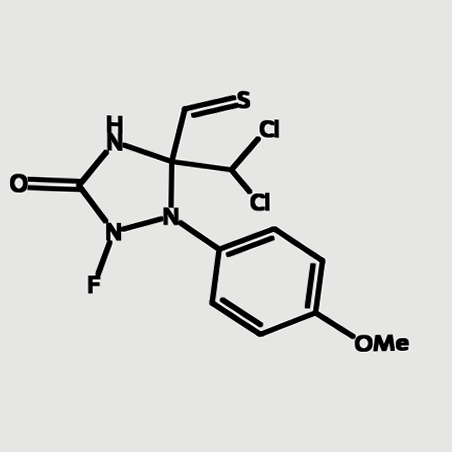 COc1ccc(N2N(F)C(=O)NC2(C=S)C(Cl)Cl)cc1